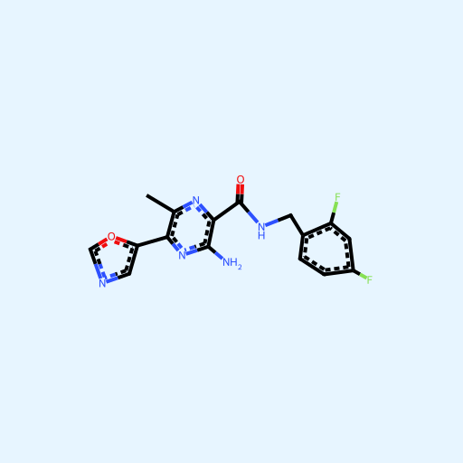 Cc1nc(C(=O)NCc2ccc(F)cc2F)c(N)nc1-c1cnco1